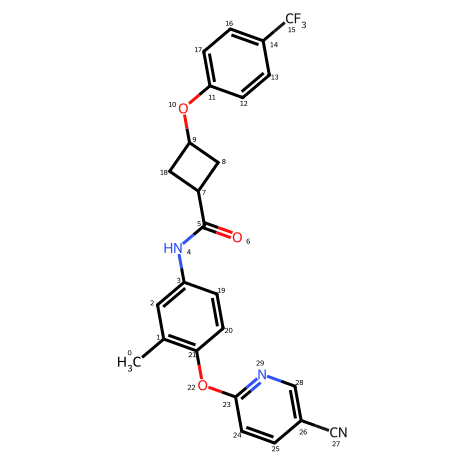 Cc1cc(NC(=O)C2CC(Oc3ccc(C(F)(F)F)cc3)C2)ccc1Oc1ccc(C#N)cn1